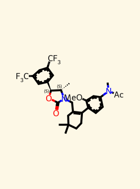 COc1cc(N(C)C(C)=O)ccc1C1=C(CN2C(=O)O[C@@H](c3cc(C(F)(F)F)cc(C(F)(F)F)c3)[C@@H]2C)CC(C)(C)CC1